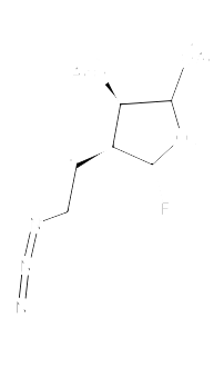 CC[C@H]1OC(OC(C)=O)[C@H](OC(C)=O)[C@@H]1CCN=[N+]=[N-]